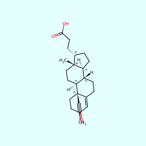 CC#C[C@]12CCC(=O)C=C1CC[C@H]1[C@@H]3CC[C@@H](CCC(=O)O)[C@@]3(C)CC[C@@H]12